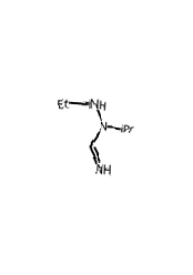 CCNN(C=N)C(C)C